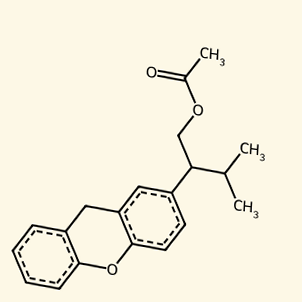 CC(=O)OCC(c1ccc2c(c1)Cc1ccccc1O2)C(C)C